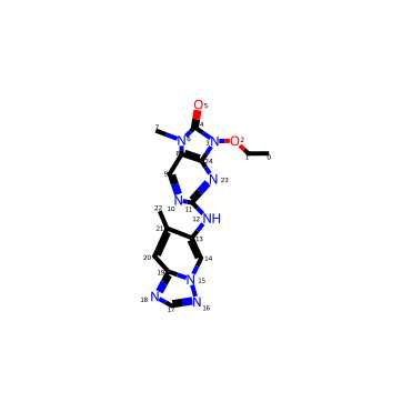 CCOn1c(=O)n(C)c2cnc(Nc3cn4ncnc4cc3C)nc21